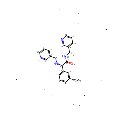 COc1cccc(C(NCc2cccnc2)C(=O)NCc2cccnc2)c1